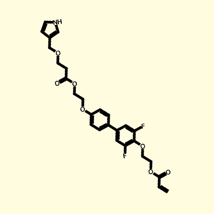 C=CC(=O)OCCOc1c(F)cc(-c2ccc(OCCOC(=O)CCOCc3cc[nH]c3)cc2)cc1F